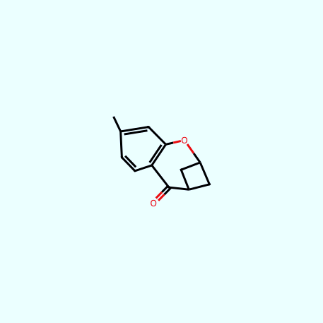 Cc1ccc2c(c1)OC1CC(C1)C2=O